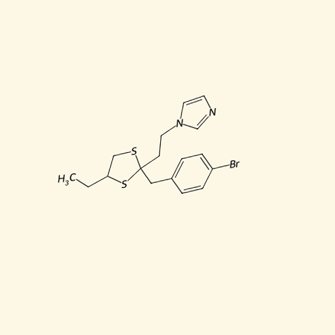 CCC1CSC(CCn2ccnc2)(Cc2ccc(Br)cc2)S1